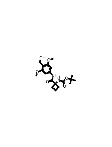 COc1cc(NC(=O)C2(NC(=O)OC(C)(C)C)CCC2)cc(OC)c1CO